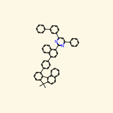 CC1(C)c2cccc(-c3ccc(-c4ccc(-c5nc(-c6ccccc6)cc(-c6cccc(-c7ccccc7)c6)n5)c5ccccc45)cc3)c2-c2c1ccc1ccccc21